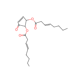 CCCC/C=C/CC(=O)OC1C=CC(=O)C1OC(=O)C/C=C/CCCC